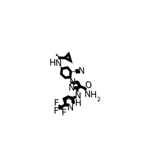 C[C@H](N[C@H]1CC[C@H](n2cc(C(N)=O)c(Nc3ccc(C(F)(F)F)nc3)n2)[C@@H](C#N)C1)C1CC1